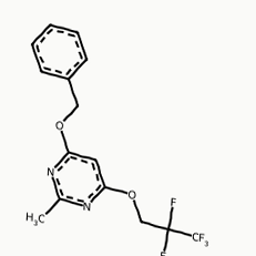 Cc1nc(OCc2ccccc2)cc(OCC(F)(F)C(F)(F)F)n1